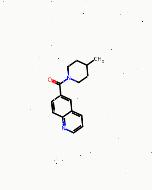 CC1CCN(C(=O)c2ccc3ncccc3c2)CC1